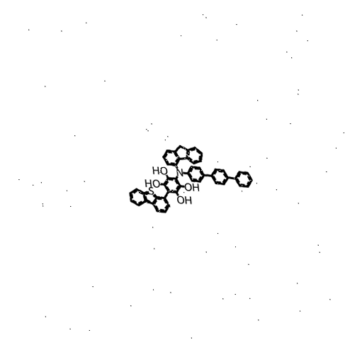 Oc1c(O)c(N(c2ccc(-c3ccc(-c4ccccc4)cc3)cc2)c2cccc3c2-c2ccccc2C3)c(O)c(O)c1-c1cccc2c1sc1ccccc12